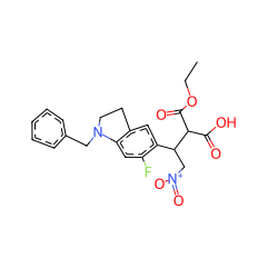 CCOC(=O)C(C(=O)O)C(C[N+](=O)[O-])c1cc2c(cc1F)N(Cc1ccccc1)CC2